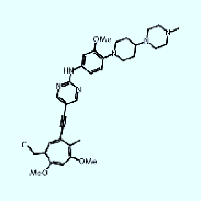 COC1=CC(OC)=C(C)C(C#Cc2cnc(Nc3ccc(N4CCC(N5CCN(C)CC5)CC4)c(OC)c3)nc2)=CC1CCl